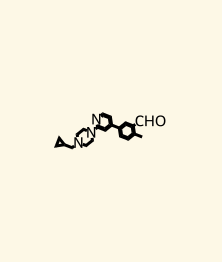 Cc1ccc(-c2ccnc(N3CCN(CC4CC4)CC3)c2)cc1C=O